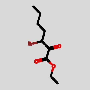 CCCCC(Br)C(=O)C(=O)OCC